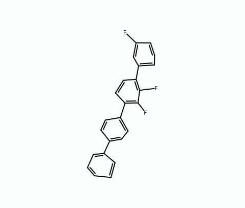 Fc1cccc(-c2ccc(-c3ccc(-c4ccccc4)cc3)c(F)c2F)c1